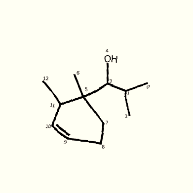 CC(C)C(O)C1(C)CCC=CC1C